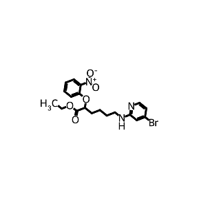 CCOC(=O)C(CCCCNc1cc(Br)ccn1)Oc1ccccc1[N+](=O)[O-]